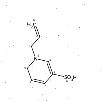 C=CCN1C=C(S(=O)(=O)O)C=CC1